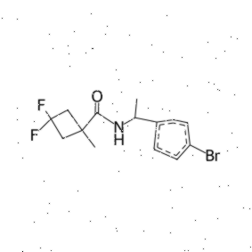 CC(NC(=O)C1(C)CC(F)(F)C1)c1ccc(Br)cc1